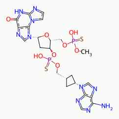 COP(O)(=S)OC[C@H]1O[C@@H](n2cnc3c(=O)[nH]c4nccn4c32)C[C@@H]1OP(O)(=S)OC[C@H]1C[C@@H](n2cnc3c(N)ncnc32)C1